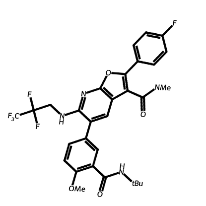 CNC(=O)c1c(-c2ccc(F)cc2)oc2nc(NCC(F)(F)C(F)(F)F)c(-c3ccc(OC)c(C(=O)NC(C)(C)C)c3)cc12